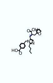 CCCCc1ncc(/C=C(\Cc2ccco2)C(=O)O)n1Cc1ccc(C(=O)O)cc1